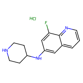 Cl.Fc1cc(NC2CCNCC2)cc2cccnc12